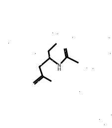 C=C(C)CC(CC)NC(=C)C